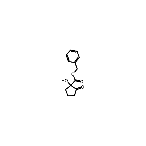 O=C1CCCC1(O)C(=O)OCc1ccccc1